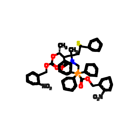 C[C@@H](OC(=O)OCc1ccccc1[N+](=O)[O-])C1C(=O)N(CP(C(=O)OCc2ccccc2[N+](=O)[O-])(c2ccccc2)(c2ccccc2)c2ccccc2)C1(C)CC(=S)c1ccccc1